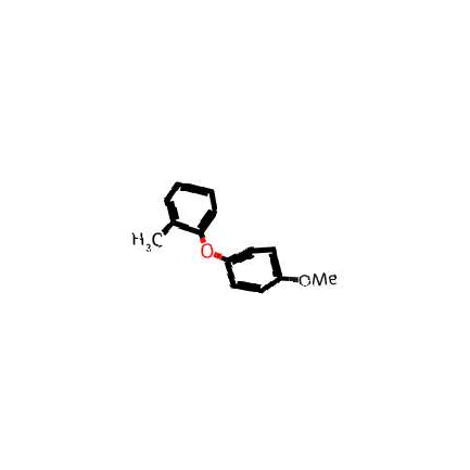 COc1ccc(Oc2ccccc2C)cc1